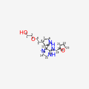 OCCOCCc1ccnc2c1C21[N]CCNC1NCc1ccco1